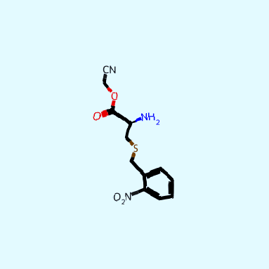 N#CCOC(=O)[C@@H](N)CSCc1ccccc1[N+](=O)[O-]